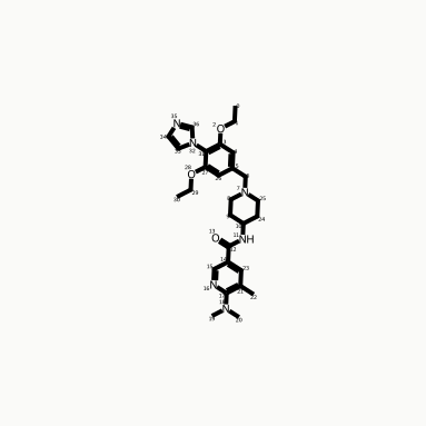 CCOc1cc(CN2CCC(NC(=O)c3cnc(N(C)C)c(C)c3)CC2)cc(OCC)c1-n1ccnc1